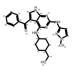 Cn1ccc(Nc2nc(NC3CCC(CO)CC3)c3c(C(=O)c4ccccc4)c[nH]c3n2)n1